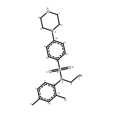 Cc1ccc(N(CC(C)C)S(=O)(=O)c2ccc(N3CCOCC3)cc2)c(C)c1